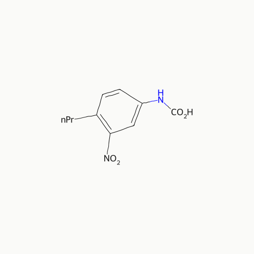 CCCc1ccc(NC(=O)O)cc1[N+](=O)[O-]